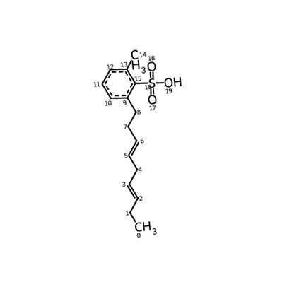 CCC=CCC=CCCc1cccc(C)c1S(=O)(=O)O